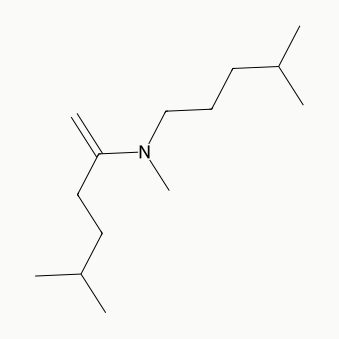 C=C(CCC(C)C)N(C)CCCC(C)C